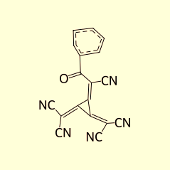 N#CC(C#N)=C1C(=C(C#N)C#N)C1=C(C#N)C(=O)c1ccccc1